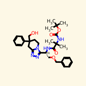 CC(C)(C)OC(=O)NC(C)(C)C(=O)N[C@H](COCc1ccccc1)c1nnc2n1CCC(CO)(c1ccccc1)C2